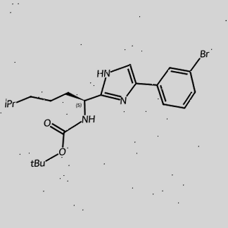 CC(C)CCC[C@H](NC(=O)OC(C)(C)C)c1nc(-c2cccc(Br)c2)c[nH]1